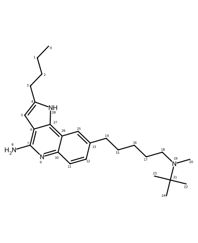 CCCCc1cc2c(N)nc3ccc(CCCCCN(C)C(C)(C)C)cc3c2[nH]1